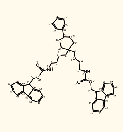 O=C(NCCOCC1(COCCNC(=O)OCC2c3ccccc3-c3ccccc32)COC(c2ccccc2)OC1)OCC1c2ccccc2-c2ccccc21